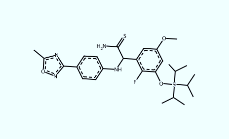 COc1cc(O[Si](C(C)C)(C(C)C)C(C)C)c(F)c(C(Nc2ccc(-c3noc(C)n3)cc2)C(N)=S)c1